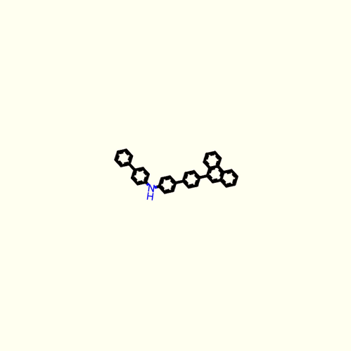 c1ccc(-c2ccc(Nc3ccc(-c4ccc(-c5cc6ccccc6c6ccccc56)cc4)cc3)cc2)cc1